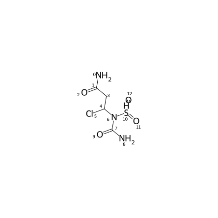 NC(=O)CC(Cl)N(C(N)=O)[SH](=O)=O